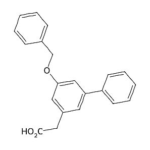 O=C(O)Cc1cc(OCc2ccccc2)cc(-c2ccccc2)c1